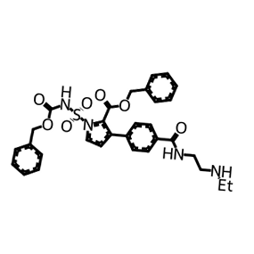 CCNCCNC(=O)c1ccc(-c2ccn(S(=O)(=O)NC(=O)OCc3ccccc3)c2C(=O)OCc2ccccc2)cc1